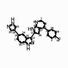 Fc1ccc(-c2ccnc3[nH]c(-c4n[nH]c5ccc(-c6cn[nH]c6)cc45)cc23)cc1